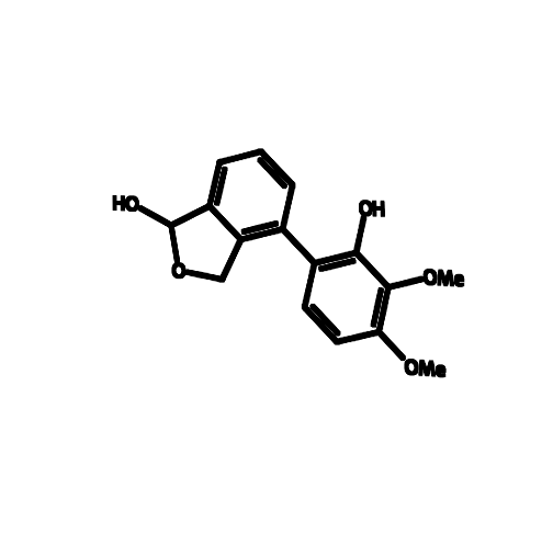 COc1ccc(-c2cccc3c2COC3O)c(O)c1OC